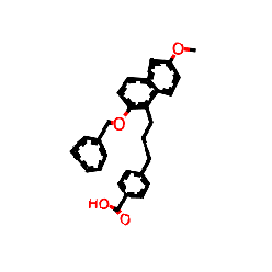 COc1ccc2c(CCCc3ccc(C(=O)O)cc3)c(OCc3ccccc3)ccc2c1